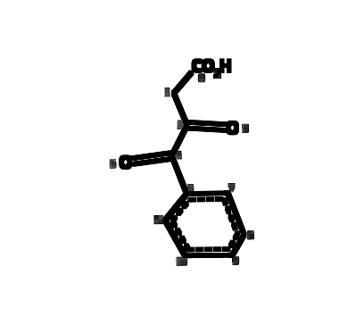 O=C(O)CC(=O)C(=O)c1ccccc1